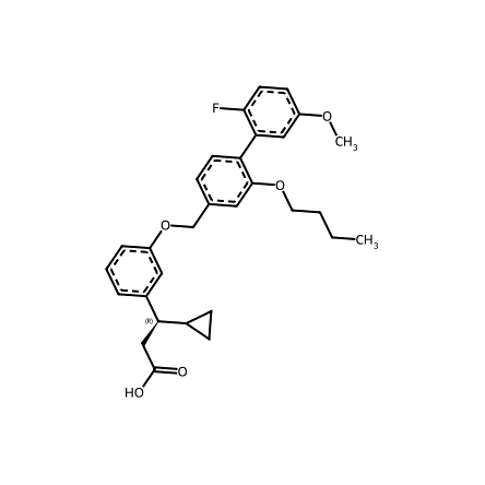 CCCCOc1cc(COc2cccc([C@H](CC(=O)O)C3CC3)c2)ccc1-c1cc(OC)ccc1F